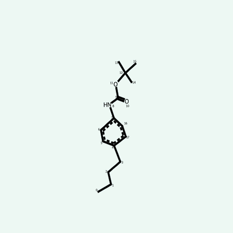 CCCCc1ccc(NC(=O)OC(C)(C)C)cc1